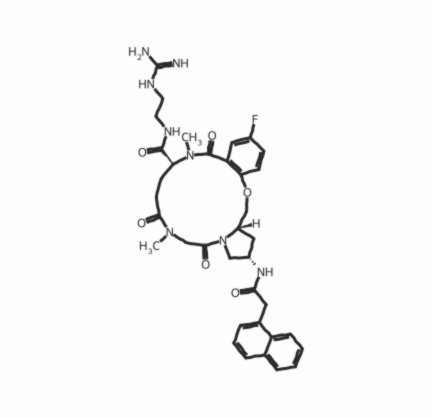 CN1CC(=O)N2C[C@@H](NC(=O)Cc3cccc4ccccc34)C[C@H]2COc2ccc(F)cc2C(=O)N(C)[C@H](C(=O)NCCNC(=N)N)CCC1=O